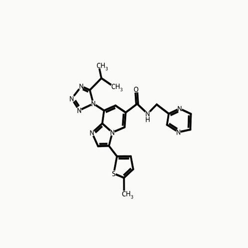 Cc1ccc(-c2cnc3c(-n4nnnc4C(C)C)cc(C(=O)NCc4cnccn4)cn23)s1